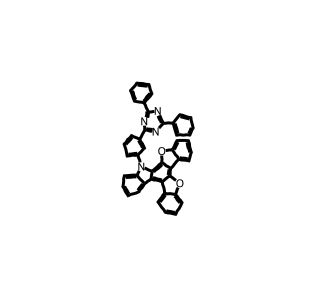 c1ccc(-c2nc(-c3ccccc3)nc(-c3cccc(-n4c5ccccc5c5c6c7ccccc7oc6c6c7ccccc7oc6c54)c3)n2)cc1